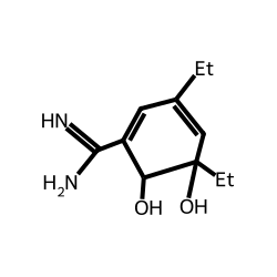 CCC1=CC(O)(CC)C(O)C(C(=N)N)=C1